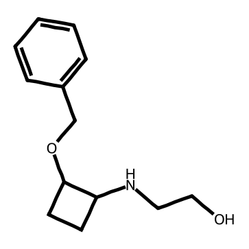 OCCNC1CCC1OCc1ccccc1